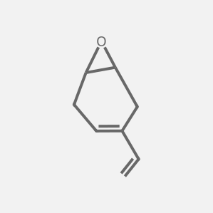 C=CC1=CCC2OC2C1